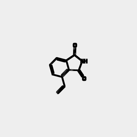 C=Cc1cccc2c1C(=O)NC2=O